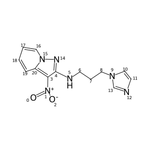 O=[N+]([O-])c1c(NCCCn2ccnc2)nn2ccccc12